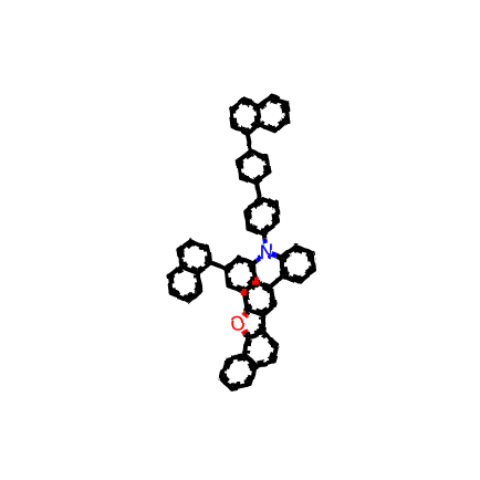 c1cc(-c2cccc3ccccc23)cc(N(c2ccc(-c3ccc(-c4cccc5ccccc45)cc3)cc2)c2ccccc2-c2ccc3oc4c5ccccc5ccc4c3c2)c1